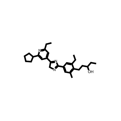 CCc1cc(C2=NC(c3cc(C)c(CCC(O)CC)c(CC)c3)=NC2)cc(C2CCCC2)n1